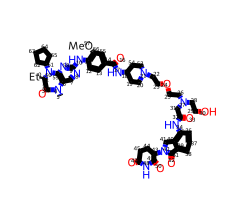 CC[C@@H]1C(=O)N(C)c2cnc(Nc3ccc(C(=O)NC4CCN(CCOCCN(CCO)CC(=O)Nc5cccc6c5CN(C5CCC(=O)NC5=O)C6=O)CC4)cc3OC)nc2N1C1CCCC1